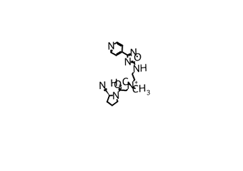 C[N+](C)(CCNc1nc(-c2ccncc2)no1)CC(=O)N1CCC[C@H]1C#N